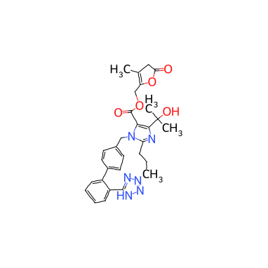 CCCc1nc(C(C)(C)O)c(C(=O)OCC2=C(C)CC(=O)O2)n1Cc1ccc(-c2ccccc2-c2nnn[nH]2)cc1